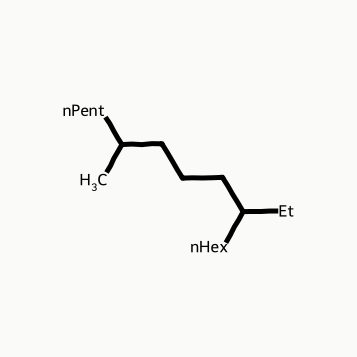 [CH2]CCCCC(C)CCCC(CC)CCCCCC